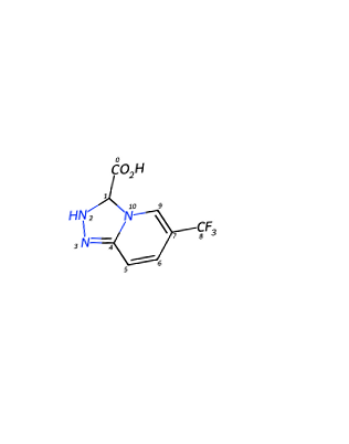 O=C(O)C1NN=C2C=CC(C(F)(F)F)=CN21